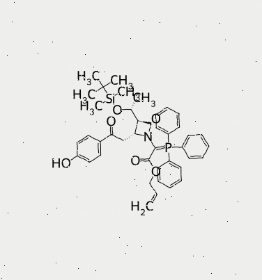 C=CCOC(=O)C(N1C(=O)[C@H]([C@@H](C)O[Si](C)(C)C(C)(C)C)[C@H]1CC(=O)c1ccc(O)cc1)=P(c1ccccc1)(c1ccccc1)c1ccccc1